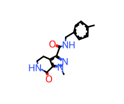 Cc1ccc(CNC(=O)c2nn(C)c3c2CCNC3=O)cc1